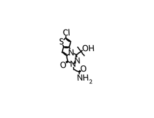 CC(C)(O)c1nn(CC(N)=O)c(=O)c2cc3sc(Cl)cc3n12